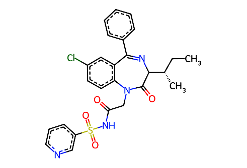 CC[C@H](C)C1N=C(c2ccccc2)c2cc(Cl)ccc2N(CC(=O)NS(=O)(=O)c2cccnc2)C1=O